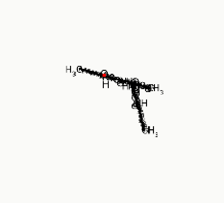 CCCCCCCCCCCCCC(=O)NCCOCCOCC(=O)NCCCCC(NC(=O)COCCOCCNC(=O)CCCCCCCCCCCCC)C(=O)NCCOCCOC